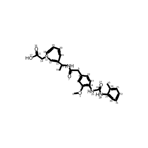 COc1cc(CC(=O)NC(C)C2=CN(CC(=O)O)C=CC=C2)ccc1NC(=O)Nc1ccccc1C